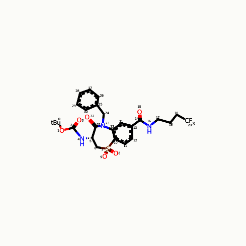 CC(C)(C)OC(=O)N[C@H]1CS(=O)(=O)c2ccc(C(=O)NCCCC(F)(F)F)cc2N(Cc2ccccc2)C1=O